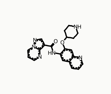 O=C(Nc1cc2cccnc2cc1OC1CCNCC1)c1cnn2cccnc12